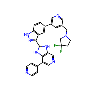 FC1(F)CCN(Cc2cncc(-c3ccc4[nH]nc(C5Nc6cncc(-c7ccncc7)c6N5)c4c3)c2)C1